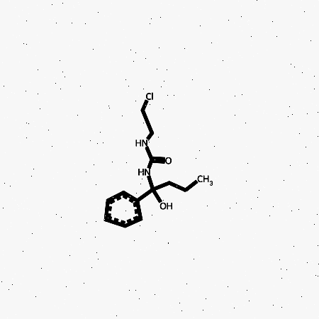 CCCC(O)(NC(=O)NCCCl)c1ccccc1